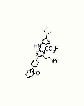 CC(C)CCc1nc(Nc2cc(C3CCCC3)sc2C(=O)O)sc1-c1ccc(-n2ccccc2=O)cc1